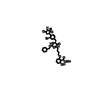 COC(=O)c1c(O)cccc1OCCCCNC(=O)[C@H](Cc1ccc(C2CC(=O)NS2(=O)=O)c(Br)c1)NC(=O)OCc1ccccc1